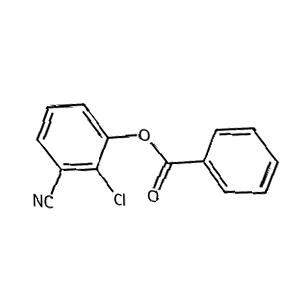 N#Cc1cccc(OC(=O)c2ccccc2)c1Cl